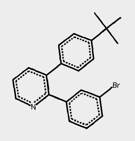 CC(C)(C)c1ccc(-c2cccnc2-c2cccc(Br)c2)cc1